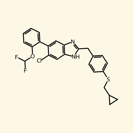 FC(F)Oc1ccccc1-c1cc2nc(Cc3ccc(SCC4CC4)cc3)[nH]c2cc1Cl